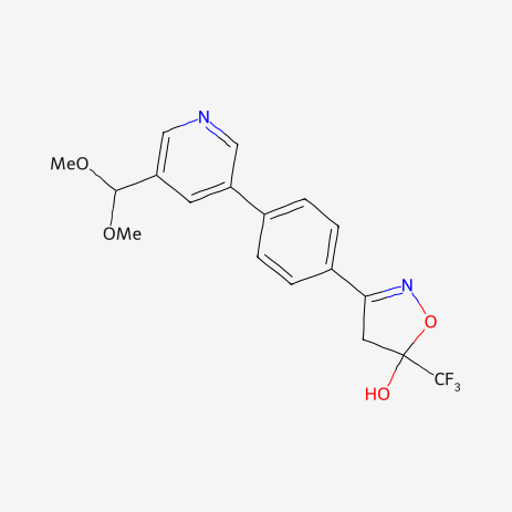 COC(OC)c1cncc(-c2ccc(C3=NOC(O)(C(F)(F)F)C3)cc2)c1